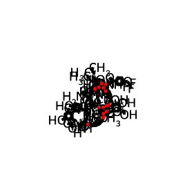 CN[C@H](CC(C)C)C(=O)N[C@H]1C(=O)N[C@@H](CC(N)=O)C(=O)NC2C(=O)NC3C(=O)N[C@H](C(=O)N[C@@H](C(=O)O)c4cc(O)cc(O)c4-c4cc3ccc4O)[C@H](O)c3ccc(c(Cl)c3)Oc3cc2cc(c3OC2O[C@H](CO)[C@@H](O)[C@H](O)[C@H]2O[C@H]2C[C@](C)(NCCn3ccc(NNC(=O)c4ccc(OC(F)(F)F)cc4)nc3=O)[C@H](O)[C@H](C)O2)Oc2ccc(cc2Cl)[C@H]1O